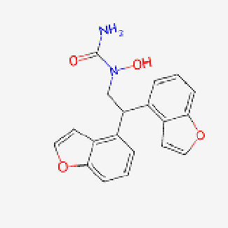 NC(=O)N(O)CC(c1cccc2occc12)c1cccc2occc12